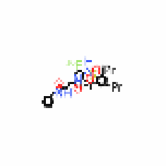 CC(C)c1cc(C(C)C)c(S(=O)(=O)NC2CN(C(=O)CCC(=O)NCc3ccccc3)CC2[18F])c(C(C)C)c1